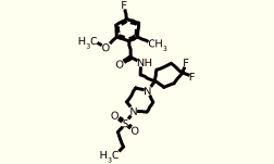 CCCS(=O)(=O)N1CCN(C2(CNC(=O)c3c(C)cc(F)cc3OC)CCC(F)(F)CC2)CC1